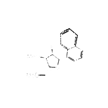 COC[C@H]1O[C@@H](c2cccc3ccccc23)[C@H](F)[C@@H]1OC